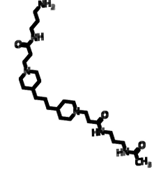 CC(=O)NCCCNC(=O)CCN1CCC(CCCC2CCN(CCC(=O)NCCCN)CC2)CC1